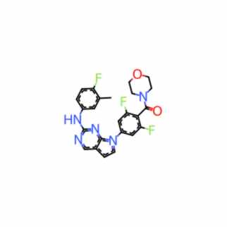 Cc1cc(Nc2ncc3ccn(-c4cc(F)c(C(=O)N5CCOCC5)c(F)c4)c3n2)ccc1F